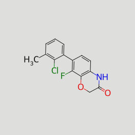 Cc1cccc(-c2ccc3c(c2F)OCC(=O)N3)c1Cl